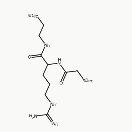 CCCCCCCCCCCCNC(=O)C(CCCNC(=N)N)NC(=O)CCCCCCCCCCC